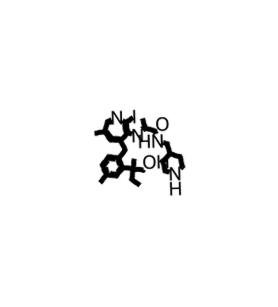 CCC(C)(CO)c1cc(C)ccc1CC1=C=C(C)C=NC(I)=C1/N=C(\C)C(=O)NCC1CCNCC1